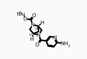 CC(C)(C)OC(=O)N1C[C@@H]2C[C@H]1CN2C(=O)c1ccc(N)nc1